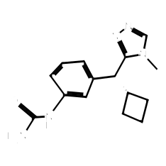 Cn1cnnc1[C@@H](c1cccc(NC(N)=O)c1)C1CCC1